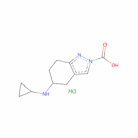 Cl.O=C(O)n1cc2c(n1)CCC(NC1CC1)C2